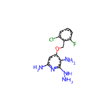 NNc1nc(N)cc(OCc2c(F)cccc2Cl)c1N